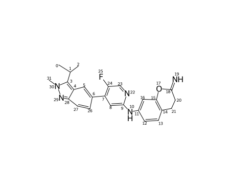 CC(C)c1c2cc(-c3cc(Nc4ccc5c(c4)OC(=N)CC5)ncc3F)ccc2nn1C